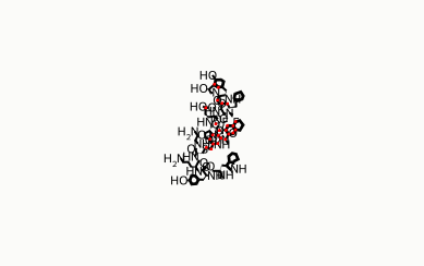 CCCC[C@@H](C(=O)N1CCC[C@@H]1C(=O)N[C@@H](CC(=O)O)C(=O)N[C@H](C(=O)N(C)[C@H](Cc1ccccc1)C(=O)N[C@@H](Cc1ccc(O)cc1)C(=O)N1CC[C@H](O)C1)C(C)C)N(C)C(=O)[C@H](Cc1ccccc1)N(C)C(=O)[C@H](Cc1ccc(F)c(F)c1)NC(=O)CSC[C@H](NC(=O)[C@H](CCCN)NC(=O)[C@H](Cc1ccc(O)cc1)NC(=O)[C@H](Cc1c[nH]c2ccccc12)NC)C(=O)NCC(N)=O